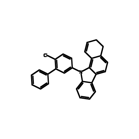 Clc1ccc(-n2c3ccccc3c3ccc4c(c32)C=CCC4)cc1-c1ccccc1